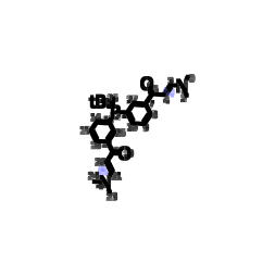 CN(C)/C=C/C(=O)c1cccc(P(c2cccc(C(=O)/C=C/N(C)C)c2)C(C)(C)C)c1